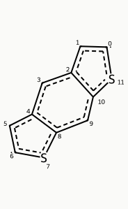 [c]1cc2cc3c[c]sc3cc2s1